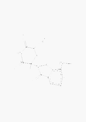 CNc1cccc2c1CN(C1(F)CC(O)C(=O)NC1=O)C2=O